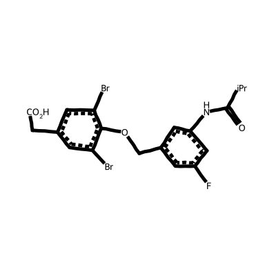 CC(C)C(=O)Nc1cc(F)cc(COc2c(Br)cc(CC(=O)O)cc2Br)c1